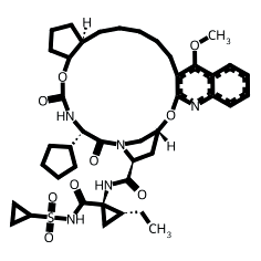 CC[C@@H]1C[C@]1(NC(=O)[C@@H]1C[C@@H]2CN1C(=O)[C@H](C1CCCC1)NC(=O)OC1CCC[C@H]1CCCCCc1c(nc3ccccc3c1OC)O2)C(=O)NS(=O)(=O)C1CC1